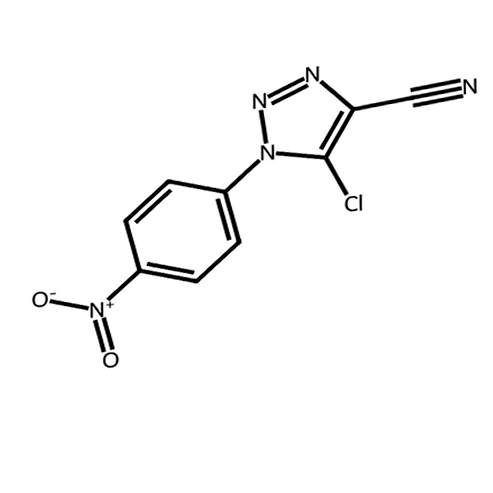 N#Cc1nnn(-c2ccc([N+](=O)[O-])cc2)c1Cl